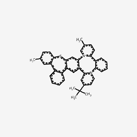 Cc1ccc2sc3cc4c(cc3c3ccccc3c2c1)c1cc(C(C)(C)C)cc[n+]1c1ccccc1c1ccc(C)c[n+]14